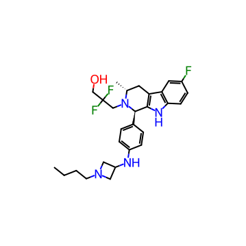 CCCCN1CC(Nc2ccc([C@@H]3c4[nH]c5ccc(F)cc5c4C[C@@H](C)N3CC(F)(F)CO)cc2)C1